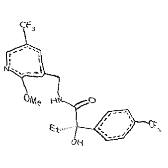 CC[C@](O)(C(=O)NCc1cc(C(F)(F)F)cnc1OC)c1ccc(C(F)(F)F)cc1